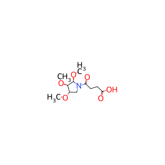 COC1CN(C(=O)CCC(=O)O)[C@H](OC)[C@@H]1OC